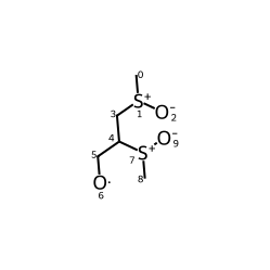 C[S+]([O-])CC(C[O])[S+](C)[O-]